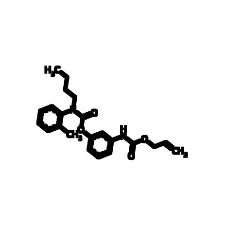 C=CCOC(=O)Nc1cccc(OC(=O)N(CCCC)c2ccccc2C)c1